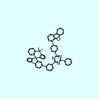 CC1(C)c2ccccc2C2(c3ccccc3-c3ccc(-c4cccc(-c5nc(-c6ccccc6)nc(-c6ccc(-c7cccc8c7oc7ccccc78)cc6)n5)c4)cc32)c2ccccc21